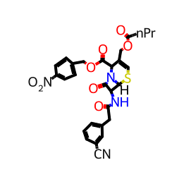 CCCC(=O)OCC1=CS[C@H]2C(NC(=O)Cc3cccc(C#N)c3)C(=O)N2C1C(=O)OCc1ccc([N+](=O)[O-])cc1